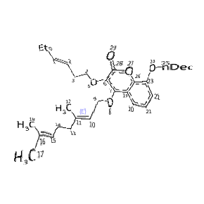 CCC=CCCOc1c(OC/C=C(\C)CCC=C(C)C)c2cccc(OCCCCCCCCCC)c2oc1=O